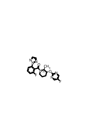 C[C@H]1[C@H](Oc2ncc(F)cn2)CCCN1C(=O)c1c(F)cccc1-n1nccn1